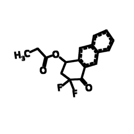 CCC(=O)OC1CC(F)(F)C(=O)c2cc3ccccc3cc21